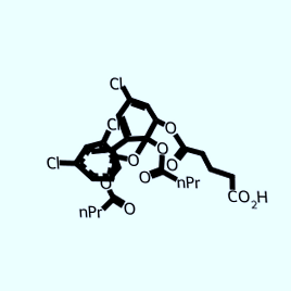 CCCC(=O)OCC(C)C1=CC(Cl)=CC(OC(=O)CCCC(=O)O)C1(OC(=O)CCC)Oc1ccc(Cl)cc1Cl